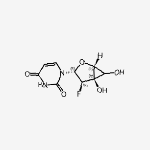 O=c1ccn([C@@H]2O[C@@H]3C(O)[C@]3(O)[C@H]2F)c(=O)[nH]1